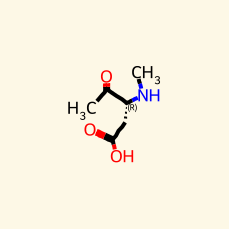 CN[C@H](CC(=O)O)C(C)=O